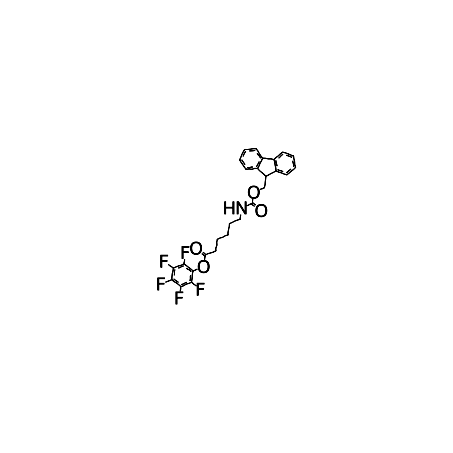 O=C(CCCCCNC(=O)OCC1c2ccccc2-c2ccccc21)Oc1c(F)c(F)c(F)c(F)c1F